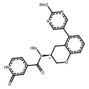 CCCCN(C(=O)c1cc[nH]c(=O)c1)[C@@H]1COc2cccc(-c3cnc(OC)nc3)c2C1